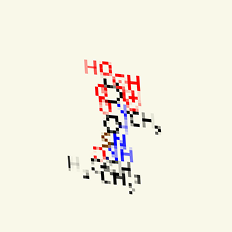 CC(=O)NC1C(OC2=CC3SC(NC(=O)C(C)(C)C)N=C3C=C2)OC(CO)C(O)C1O